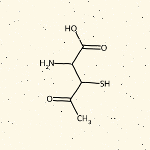 CC(=O)C(S)C(N)C(=O)O